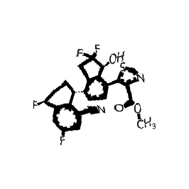 COC(=O)c1ncsc1-c1ccc([C@H]2CC[C@H](F)c3cc(F)cc(C#N)c32)c2c1[C@H](O)C(F)(F)C2